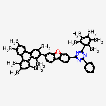 Bc1cc2c(cc1B)c1c(B)c(B)cc(B)c1c1c(B)c(-c3ccc4c(c3)oc3cc(-c5nc(-c6ccccc6)nc(-c6c(B)c(B)c(B)c(B)c6B)n5)ccc34)c(B)cc21